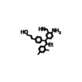 CC/C(=C(/c1ccc(/C=C/CO)cc1)c1ccc(N)c(C=N)c1)c1ccc(C)cc1C